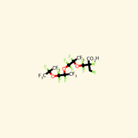 O=C(O)C(F)(CF)C(F)(F)OC(F)(C(F)(F)F)C(F)(F)OC(F)(C(F)(F)F)C(F)(F)OC(F)(C(F)(F)F)C(F)(F)F